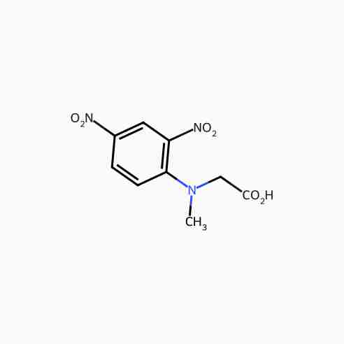 CN(CC(=O)O)c1ccc([N+](=O)[O-])cc1[N+](=O)[O-]